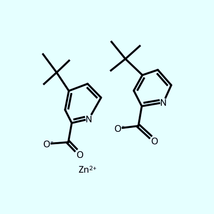 CC(C)(C)c1ccnc(C(=O)[O-])c1.CC(C)(C)c1ccnc(C(=O)[O-])c1.[Zn+2]